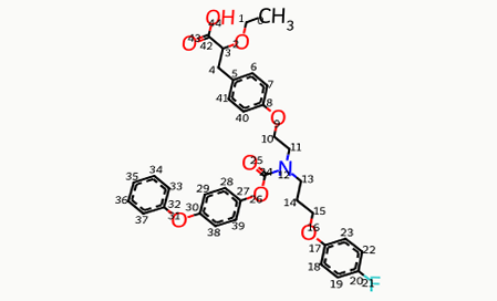 CCOC(Cc1ccc(OCCN(CCCOc2ccc(F)cc2)C(=O)Oc2ccc(Oc3ccccc3)cc2)cc1)C(=O)O